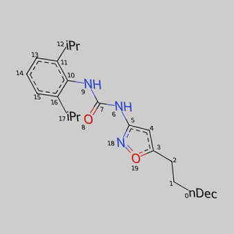 CCCCCCCCCCCCc1cc(NC(=O)Nc2c(C(C)C)cccc2C(C)C)no1